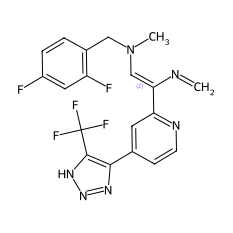 C=N/C(=C\N(C)Cc1ccc(F)cc1F)c1cc(-c2nn[nH]c2C(F)(F)F)ccn1